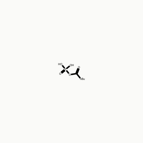 CCCCC(=O)OP(=O)(O)O